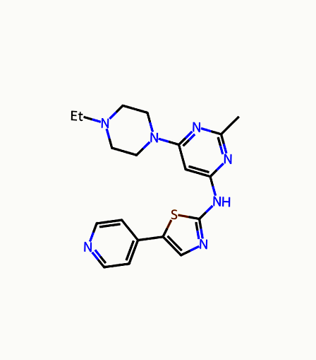 CCN1CCN(c2cc(Nc3ncc(-c4ccncc4)s3)nc(C)n2)CC1